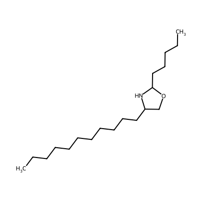 CCCCCCCCCCCC1COC(CCCCC)N1